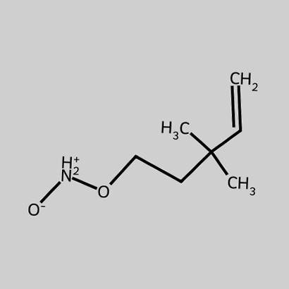 C=CC(C)(C)CCO[NH2+][O-]